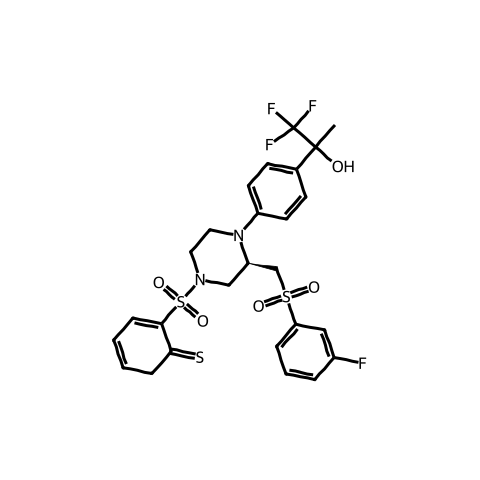 CC(O)(c1ccc(N2CCN(S(=O)(=O)C3=CC=CCC3=S)C[C@@H]2CS(=O)(=O)c2cccc(F)c2)cc1)C(F)(F)F